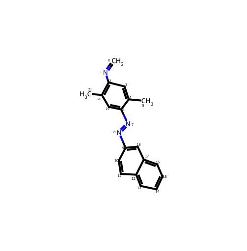 C=Nc1cc(C)c(N=Nc2ccc3ccccc3c2)cc1C